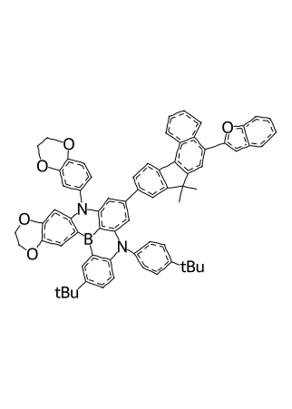 CC(C)(C)c1ccc(N2c3ccc(C(C)(C)C)cc3B3c4cc5c(cc4N(c4ccc6c(c4)OCCO6)c4cc(-c6ccc7c(c6)C(C)(C)c6cc(-c8cc9ccccc9o8)c8ccccc8c6-7)cc2c43)OCCO5)cc1